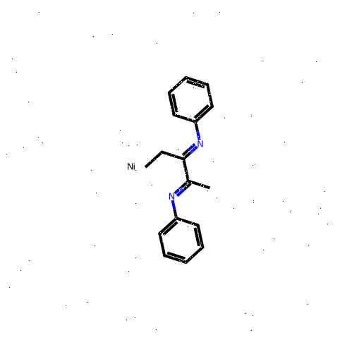 CCC(=N\c1ccccc1)/C(C)=N/c1ccccc1.[Ni]